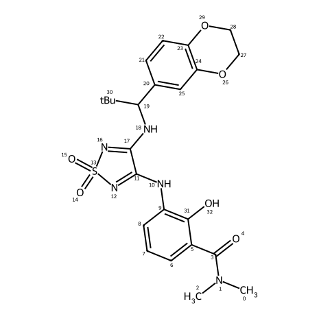 CN(C)C(=O)c1cccc(NC2=NS(=O)(=O)N=C2NC(c2ccc3c(c2)OCCO3)C(C)(C)C)c1O